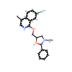 Cc1cnc(OCC2CN(C(C)(C)C)C(c3ccccc3)O2)c2cc(Cl)ccc12